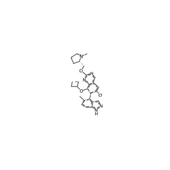 Cc1ccc2[nH]ncc2c1-c1c(Cl)cc2cnc(OC[C@@H]3CCCN3C)nc2c1OC1CCC1